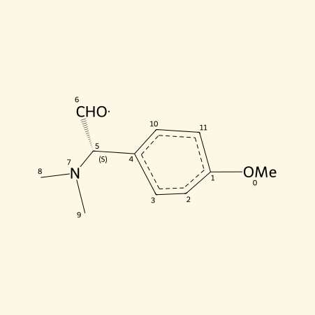 COc1ccc([C@@H]([C]=O)N(C)C)cc1